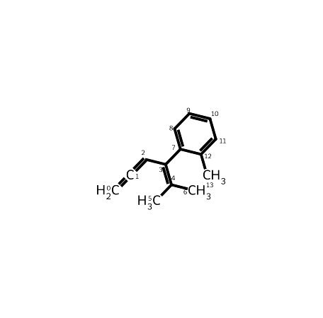 C=C=CC(=C(C)C)c1ccccc1C